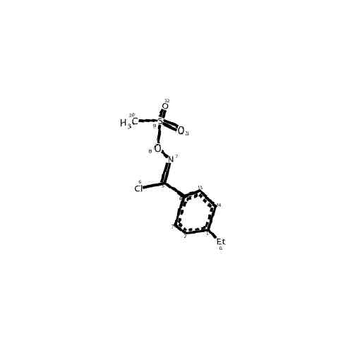 CCc1ccc(C(Cl)=NOS(C)(=O)=O)cc1